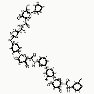 Cc1cccc(NC(=O)c2nn(-c3ccc(-c4cccc(NC(=O)c5nn(-c6ccc(Cc7noc(C(C)NC(=O)c8nn(-c9ccccc9)c(C)cc8=O)n7)cc6)c(C)cc5=O)n4)cc3F)c(C)cc2=O)c1